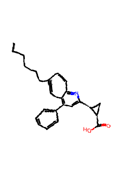 CCCCCCc1ccc2nc([C@H]3C[C@H]3C(=O)O)cc(-c3ccccc3)c2c1